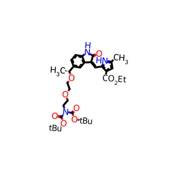 CCOC(=O)c1cc(C)[nH]c1/C=C1\C(=O)Nc2ccc([C@@H](C)OCCOCCN(C(=O)OC(C)(C)C)C(=O)OC(C)(C)C)cc21